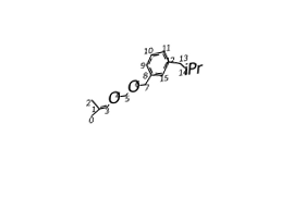 CC(C)=COCOCc1cccc(CC(C)C)c1